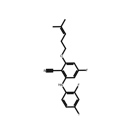 CC(C)=CCCOc1cc(F)cc(Nc2ccc(I)cc2F)c1C#N